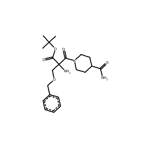 CC(C)(C)OC(=O)C(N)(COCc1ccccc1)C(=O)N1CCC(C(N)=O)CC1